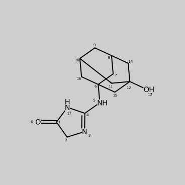 O=C1CN=C(NC23CC4CC(CC(O)(C4)C2)C3)N1